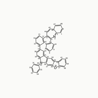 C1=CC2=NC(c3ccccc3)=C(c3cccc(-c4ccc5c(c4)c4cc6c(cc4n5-c4ccccc4)oc4ccccc46)c3)C=CC2C=C1